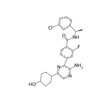 C[C@@H](NC(=O)c1ccc(-c2nc(C3CCC(O)CC3)cnc2N)cc1F)c1cccc(Cl)c1